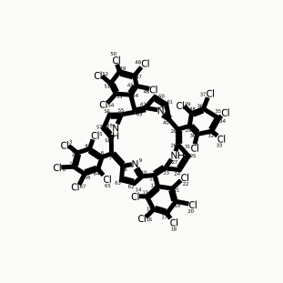 Clc1c(Cl)c(Cl)c(-c2c3nc(c(-c4c(Cl)c(Cl)c(Cl)c(Cl)c4Cl)c4ccc([nH]4)c(-c4c(Cl)c(Cl)c(Cl)c(Cl)c4Cl)c4nc(c(-c5c(Cl)c(Cl)c(Cl)c(Cl)c5Cl)c5ccc2[nH]5)C=C4)C=C3)c(Cl)c1Cl